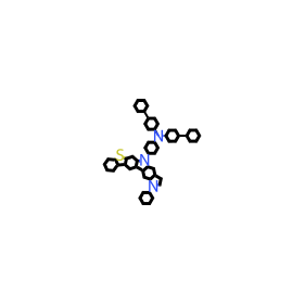 c1ccc(-c2ccc(N(c3ccc(-c4ccccc4)cc3)c3ccc(-n4c5cc6ccn(-c7ccccc7)c6cc5c5cc6c(cc54)sc4ccccc46)cc3)cc2)cc1